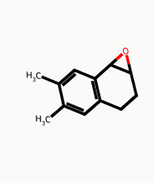 Cc1cc2c(cc1C)C1OC1CC2